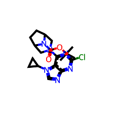 CC(C)(C)OC(=O)N1C2CCC1CN(c1nc(Cl)nc3ncn(C4CC4)c13)C2